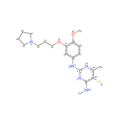 CNc1nc(Nc2ccc(OC)c(OCCCN3CCCC3)c2)nc(C)c1F